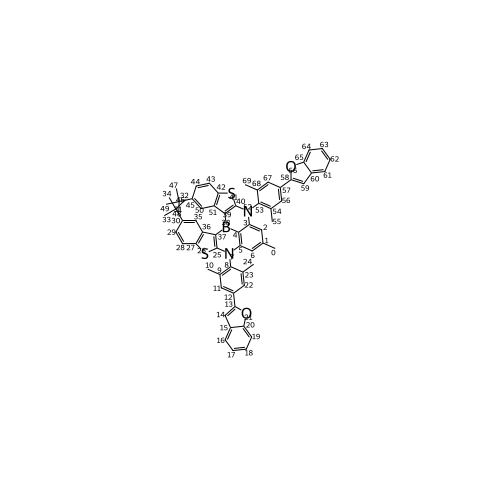 Cc1cc2c3c(c1)N(c1c(C)cc(-c4cc5ccccc5o4)cc1C)c1sc4ccc(C(C)(C)C)cc4c1B3c1c(sc3ccc(C(C)(C)C)cc13)N2c1c(C)cc(-c2cc3ccccc3o2)cc1C